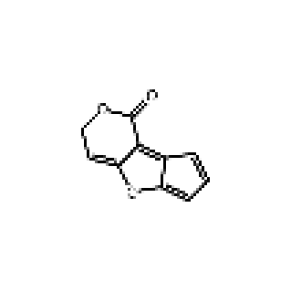 O=C1OCC=c2oc3c(c21)C=CC=3